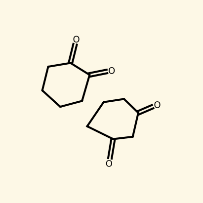 O=C1CCCC(=O)C1.O=C1CCCCC1=O